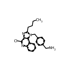 CCCCc1nc2c(Cl)nc3ccccc3c2n1Cc1ccc(CN)cc1